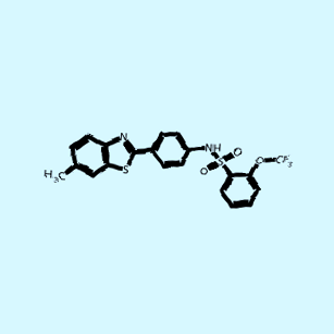 Cc1ccc2nc(-c3ccc(NS(=O)(=O)c4ccccc4OC(F)(F)F)cc3)sc2c1